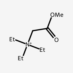 CC[N+](CC)(CC)CC(=O)OC